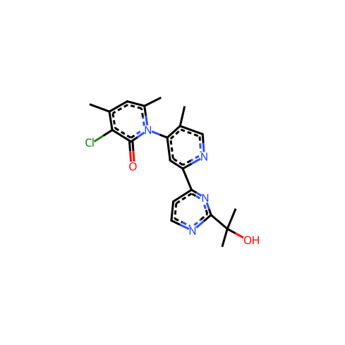 Cc1cnc(-c2ccnc(C(C)(C)O)n2)cc1-n1c(C)cc(C)c(Cl)c1=O